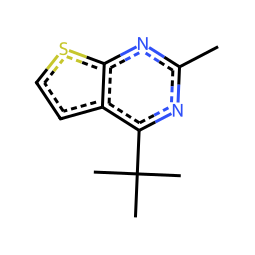 Cc1nc(C(C)(C)C)c2ccsc2n1